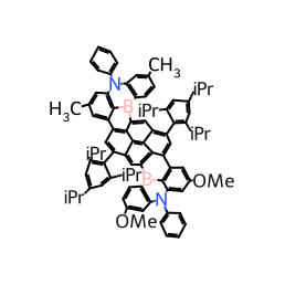 COc1ccc2c(c1)N(c1ccccc1)c1cc(OC)cc3c1B2c1cc2c(-c4c(C(C)C)cc(C(C)C)cc4C(C)C)cc4c5c(cc6c(-c7c(C(C)C)cc(C(C)C)cc7C(C)C)cc-3c1c6c25)B1c2ccc(C)cc2N(c2ccccc2)c2cc(C)cc-4c21